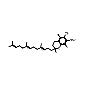 CNc1c(C)c2c(c(C)c1O)CCC(C)(CC/C=C(\C)CC/C=C(\C)CCC=C(C)C)O2